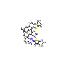 N#Cc1cccc(-c2c(-n3c4ccccc4c4ccc5c6ccccc6sc5c43)cncc2-n2c3ccccc3c3ccc4c5ccccc5sc4c32)c1